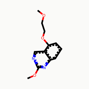 COCCOc1cccc2nc(OC)ncc12